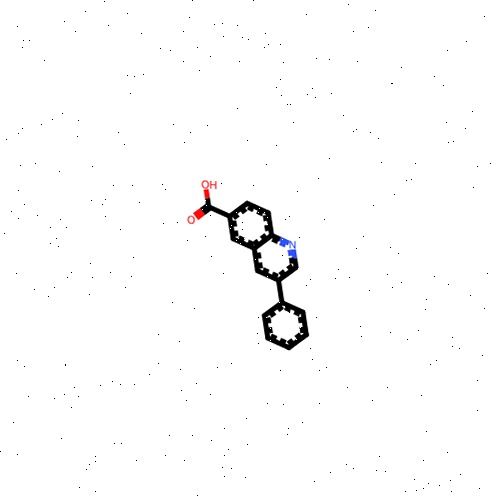 O=C(O)c1ccc2ncc(-c3ccccc3)cc2c1